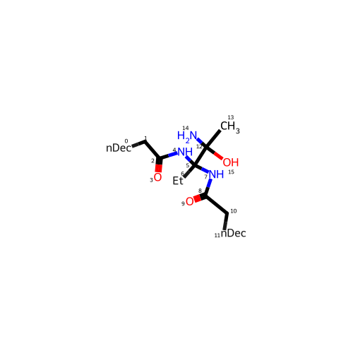 CCCCCCCCCCCC(=O)NC(CC)(NC(=O)CCCCCCCCCCC)C(C)(N)O